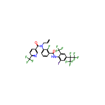 C=CCN(C(=O)c1ccc(C(F)(F)F)nc1)c1cccc(C(=O)Nc2c(I)cc(C(F)(C(F)(F)F)C(F)(F)F)cc2C(F)(F)F)c1F